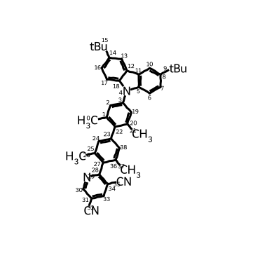 Cc1cc(-n2c3ccc(C(C)(C)C)cc3c3cc(C(C)(C)C)ccc32)cc(C)c1-c1cc(C)c(-c2ncc(C#N)cc2C#N)c(C)c1